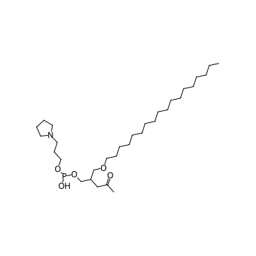 CCCCCCCCCCCCCCCCCCOCC(COP(O)OCCCN1CCCC1)CC(C)=O